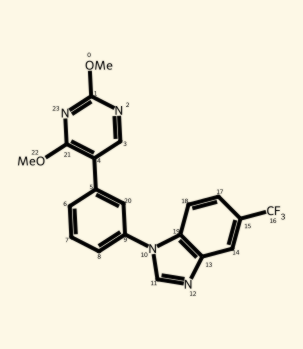 COc1ncc(-c2cccc(-n3cnc4cc(C(F)(F)F)ccc43)c2)c(OC)n1